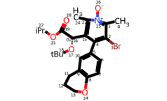 Cc1c(Br)c(-c2ccc3c(c2)CCCO3)c([C@H](OC(C)(C)C)C(=O)OC(C)C)c(C)[n+]1[O-]